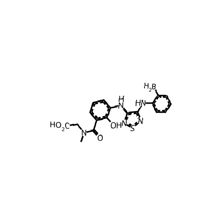 Bc1ccccc1Nc1nsnc1Nc1cccc(C(=O)N(C)CC(=O)O)c1O